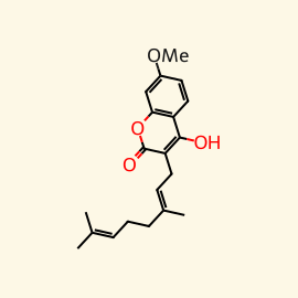 COc1ccc2c(O)c(C/C=C(\C)CCC=C(C)C)c(=O)oc2c1